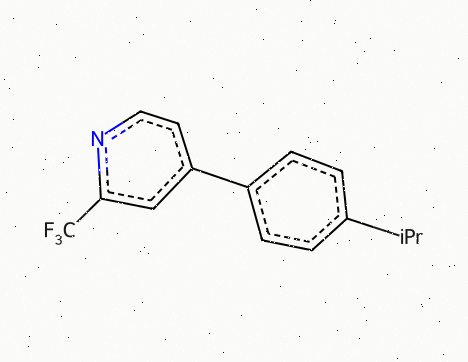 CC(C)c1ccc(-c2ccnc(C(F)(F)F)c2)cc1